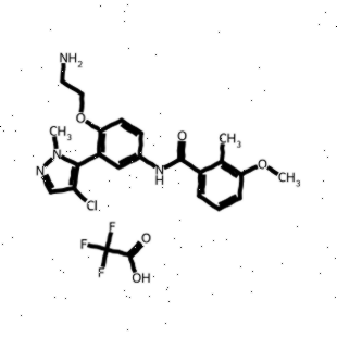 COc1cccc(C(=O)Nc2ccc(OCCN)c(-c3c(Cl)cnn3C)c2)c1C.O=C(O)C(F)(F)F